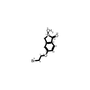 CN1Cc2cc(OCCBr)ccc2C1=O